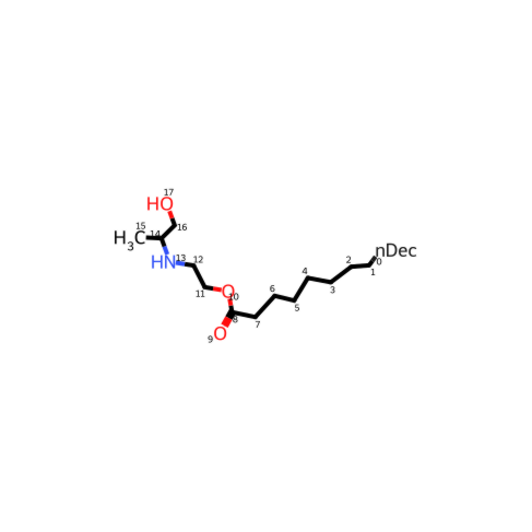 CCCCCCCCCCCCCCCCCC(=O)OCCNC(C)CO